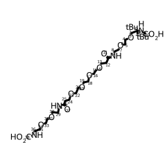 CC(C)(C)C(COCCOCCNC(=O)CCOCCOCCOCCOCCC(=O)NCCOCCOCCNC(=O)O)(NC(=O)O)C(C)(C)C